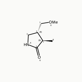 COC[C@H]1CNC(=O)[C@@H]1C